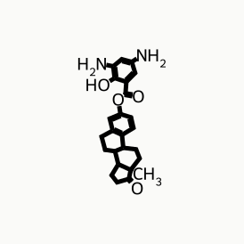 CC12CCC3c4ccc(OC(=O)c5cc(N)cc(N)c5O)cc4CCC3C1CCC2=O